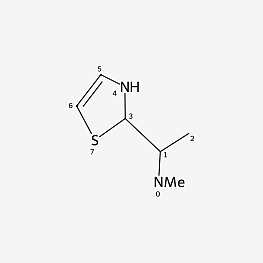 CNC(C)C1NC=CS1